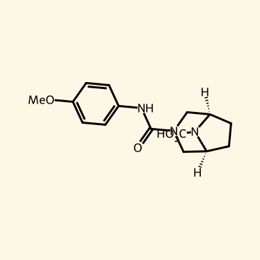 COc1ccc(NC(=O)N2C[C@H]3CC[C@@H](C2)N3C(=O)O)cc1